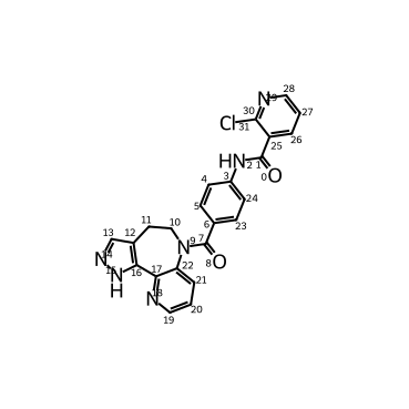 O=C(Nc1ccc(C(=O)N2CCc3cn[nH]c3-c3ncccc32)cc1)c1cccnc1Cl